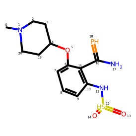 CN1CCC(Oc2cccc(N[SH](=O)=O)c2C(N)=P)CC1